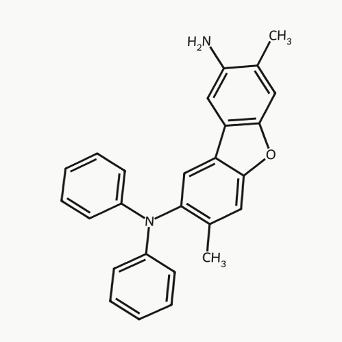 Cc1cc2oc3cc(C)c(N(c4ccccc4)c4ccccc4)cc3c2cc1N